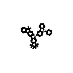 CC1(C)c2ccccc2-c2cc3c4cc5c(cc4n(-c4ccc6c(c4)c4ccccc4n6-c4ccccc4)c3cc21)C(C)(C)C(C)(C)C5(C)C